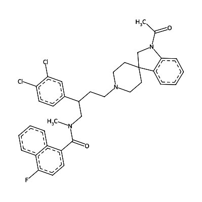 CC(=O)N1CC2(CCN(CCC(CN(C)C(=O)c3ccc(F)c4ccccc34)c3ccc(Cl)c(Cl)c3)CC2)c2ccccc21